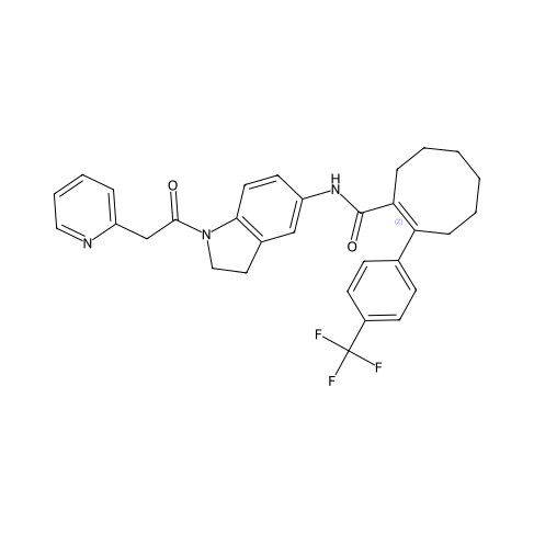 O=C(Nc1ccc2c(c1)CCN2C(=O)Cc1ccccn1)/C1=C(\c2ccc(C(F)(F)F)cc2)CCCCCC1